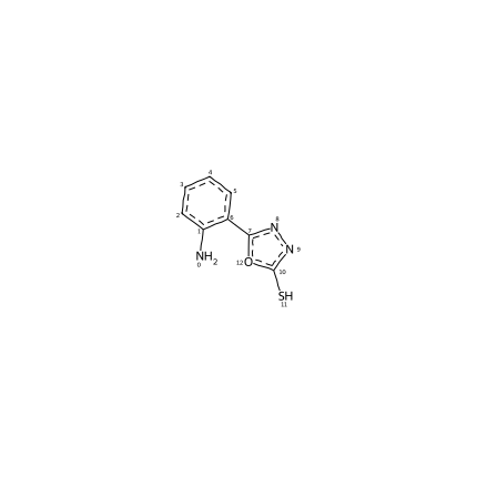 Nc1ccccc1-c1nnc(S)o1